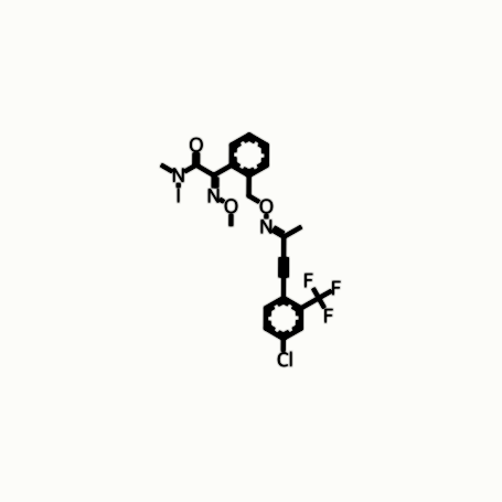 CO/N=C(/C(=O)N(C)I)c1ccccc1CO/N=C(\C)C#Cc1ccc(Cl)cc1C(F)(F)F